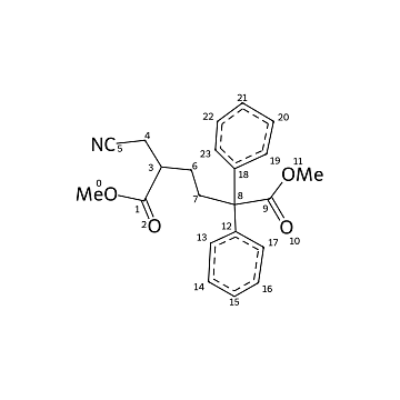 COC(=O)C(CC#N)CCC(C(=O)OC)(c1ccccc1)c1ccccc1